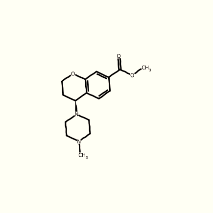 COC(=O)c1ccc2c(c1)OCC[C@@H]2N1CCN(C)CC1